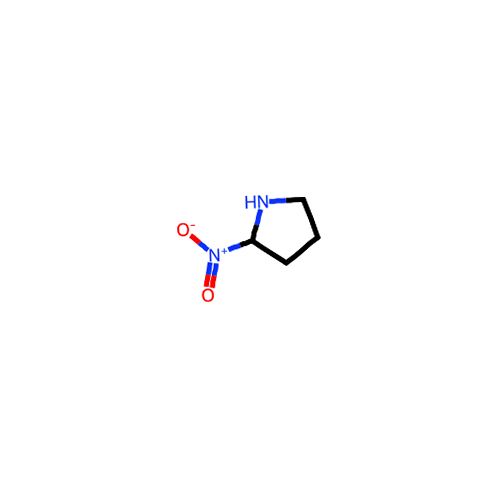 O=[N+]([O-])C1CCCN1